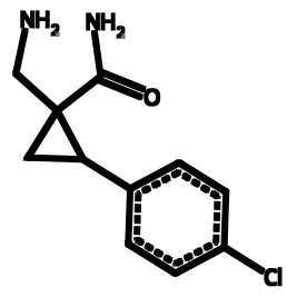 NCC1(C(N)=O)CC1c1ccc(Cl)cc1